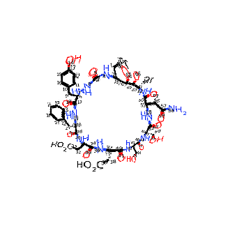 CC(C)C[C@@H]1NC(=O)NNC(Cc2ccc(O)cc2)C(=O)N[C@@H](Cc2ccccc2)C(=O)NC(CC(=O)O)C(=O)N[C@@H](CC(=O)O)C(=O)NC(CO)C(=O)N[C@@H](CO)C(=O)NC(CC(N)=O)C(=O)N[C@@H](C(C)C)C(=O)C1=O